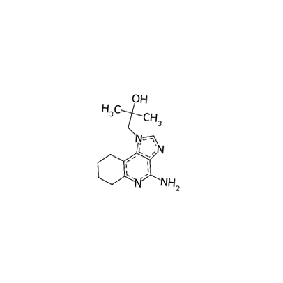 CC(C)(O)Cn1cnc2c(N)nc3c(c21)CCCC3